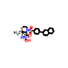 CC1(C)SCCN(S(=O)(=O)c2ccc(-c3ccc4ccccc4c3)cc2)[C@H]1C(=O)NO